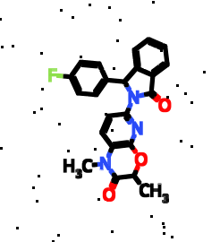 CC1Oc2nc(N3C(=O)c4ccccc4C3c3ccc(F)cc3)ccc2N(C)C1=O